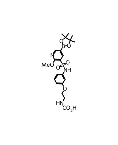 COc1ncc(B2OC(C)(C)C(C)(C)O2)cc1S(=O)(=O)Nc1cccc(OCCNC(=O)O)c1